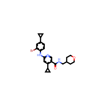 O=C(NCC1CCOCC1)c1cnc(Nc2ccc(C3CC3)cc2Br)cc1C1CC1